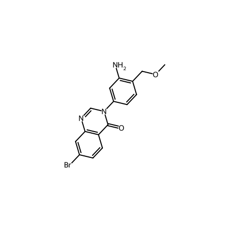 COCc1ccc(-n2cnc3cc(Br)ccc3c2=O)cc1N